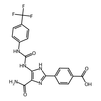 NC(=O)c1nc(-c2ccc(C(=O)O)cc2)[nH]c1NC(=O)Nc1ccc(C(F)(F)F)cc1